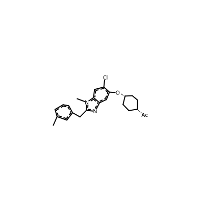 Cc1cccc(Cc2nc3cc(O[C@H]4CC[C@@H](C(C)=O)CC4)c(Cl)cc3n2C)c1